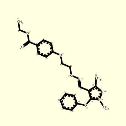 CCOC(=O)c1ccc(OCCON=Cc2c(C)nn(C)c2Oc2ccccc2)cc1